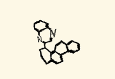 c1ccc2c(c1)ccc1c3c(ccc12)CCCC3c1cnc2ccccc2n1